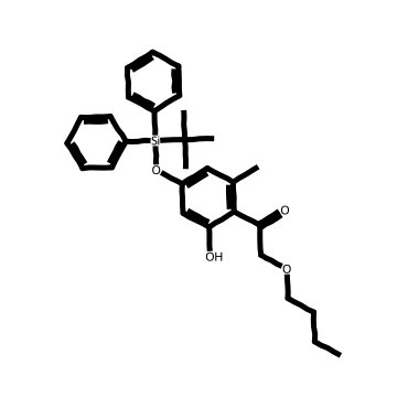 CCCCOCC(=O)c1c(C)cc(O[Si](c2ccccc2)(c2ccccc2)C(C)(C)C)cc1O